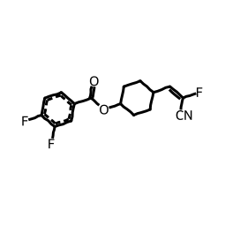 N#C/C(F)=C\C1CCC(OC(=O)c2ccc(F)c(F)c2)CC1